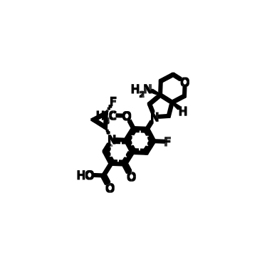 COc1c(N2C[C@H]3COCC[C@@]3(N)C2)c(F)cc2c(=O)c(C(=O)O)cn([C@@H]3C[C@@H]3F)c12